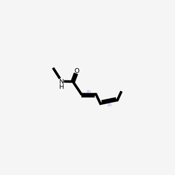 C/C=C\C=C\C(=O)NC